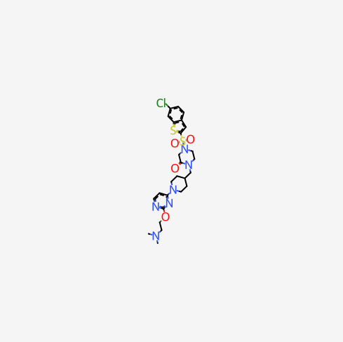 CN(C)CCOc1nccc(N2CCC(CN3CCN(S(=O)(=O)c4cc5ccc(Cl)cc5s4)CC3=O)CC2)n1